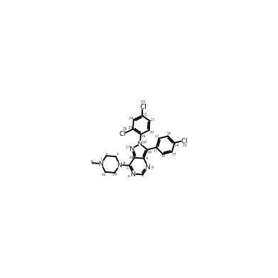 CN1CCN(c2ncnc3c(-c4ccc(Cl)cc4)n(-c4ccc(Cl)cc4Cl)nc23)CC1